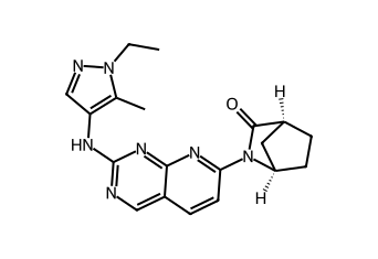 CCn1ncc(Nc2ncc3ccc(N4C(=O)[C@H]5CC[C@@H]4C5)nc3n2)c1C